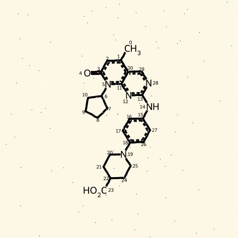 Cc1cc(=O)n(C2CCCC2)c2nc(Nc3ccc(N4CCC(C(=O)O)CC4)cc3)ncc12